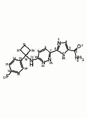 NC(=O)c1cnc(-c2ccc(NC3(c4ccc(F)cc4)CCC3)nn2)s1